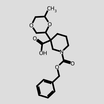 CC1COCC(C2(C(=O)O)CCCN(C(=O)OCc3ccccc3)C2)O1